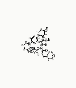 CN(C(=O)[C@@H](CC(=O)O)CC1CCOCC1)c1nc(-c2cc(F)ccc2-c2ccc(N3CCCCC3=O)nc2)c(F)s1